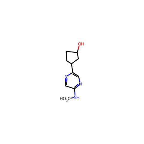 O=C(O)Nc1cnc(C2CCC(O)C2)cn1